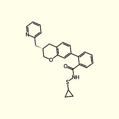 O=C(NSC1CC1)c1ccccc1-c1ccc2c(c1)OC[C@H](Cc1ccccn1)C2